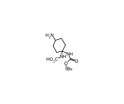 CC(C)(C)OC(=O)NC1(NC(=O)O)CCC(N)CC1